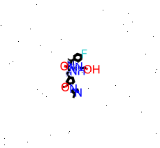 COc1cc(/C=C2\N/C(=N\CCO)N([C@@H](C)c3ccc(F)cc3)C2=O)ccc1-n1cnc(C)c1